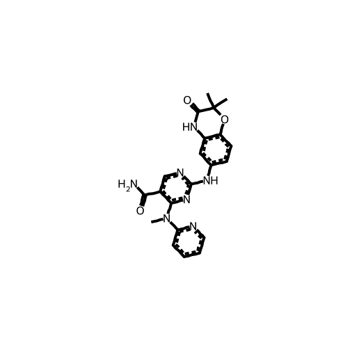 CN(c1ccccn1)c1nc(Nc2ccc3c(c2)NC(=O)C(C)(C)O3)ncc1C(N)=O